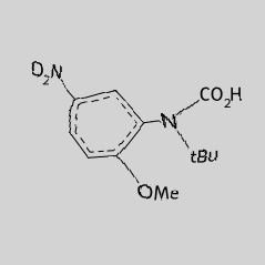 COc1ccc([N+](=O)[O-])cc1N(C(=O)O)C(C)(C)C